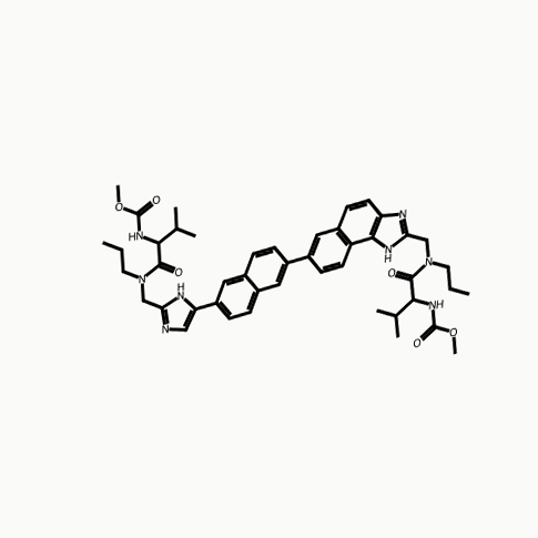 CCCN(Cc1ncc(-c2ccc3cc(-c4ccc5c(ccc6nc(CN(CCC)C(=O)C(NC(=O)OC)C(C)C)[nH]c65)c4)ccc3c2)[nH]1)C(=O)C(NC(=O)OC)C(C)C